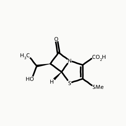 CSC1=C(C(=O)O)N2C(=O)[C@H](C(C)O)[C@H]2S1